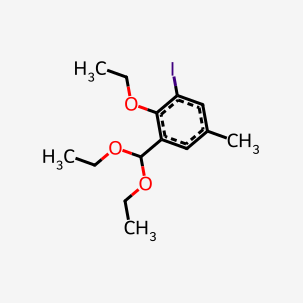 CCOc1c(I)cc(C)cc1C(OCC)OCC